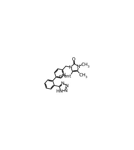 CCCCCc1c(C)n(C)c(=O)n1Cc1ccc(-c2ccccc2-c2nnn[nH]2)cn1